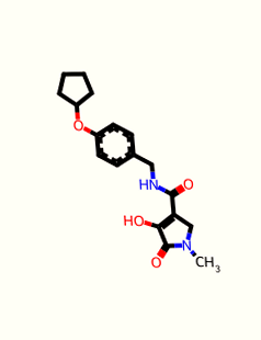 CN1CC(C(=O)NCc2ccc(OC3CCCC3)cc2)=C(O)C1=O